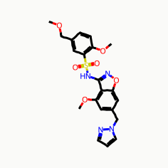 COCc1ccc(OC)c(S(=O)(=O)Nc2noc3cc(Cn4cccn4)cc(OC)c23)c1